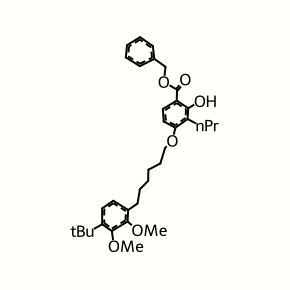 CCCc1c(OCCCCCCc2ccc(C(C)(C)C)c(OC)c2OC)ccc(C(=O)OCc2ccccc2)c1O